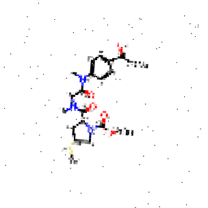 COC(=O)c1ccc(N(C)C(=O)CN(C)C(=O)[C@@H]2C[C@@H](SC(C)=O)CN2C(=O)OC(C)(C)C)cc1